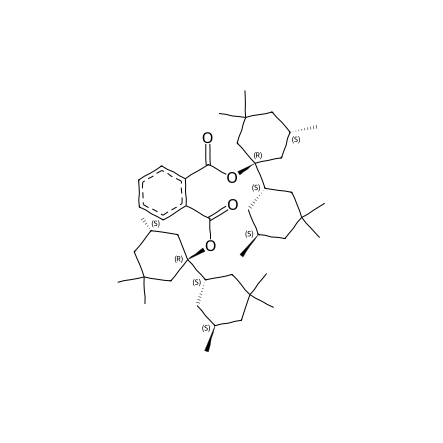 C[C@H]1C[C@H]([C@@]2(OC(=O)c3ccccc3C(=O)O[C@]3([C@H]4C[C@H](C)CC(C)(C)C4)C[C@@H](C)CC(C)(C)C3)C[C@@H](C)CC(C)(C)C2)CC(C)(C)C1